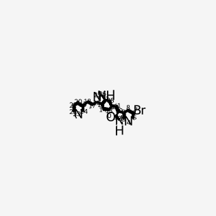 O=C1Nc2ncc(Br)cc2C1=Cc1ccc2c(C=Cc3cccnc3)n[nH]c2c1